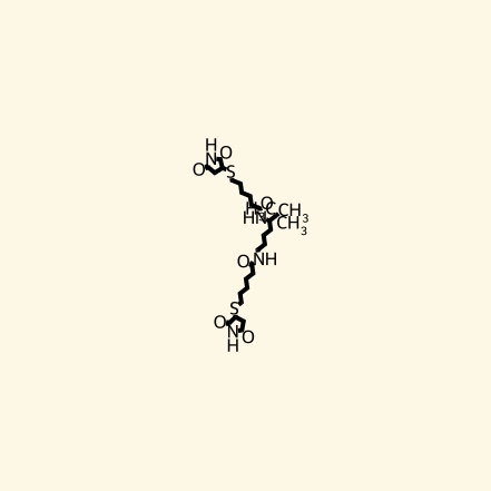 CC(C)(C)C(CCCCNC(=O)CCCCCSC1CC(=O)NC1=O)NC(=O)CCCCCSC1CC(=O)NC1=O